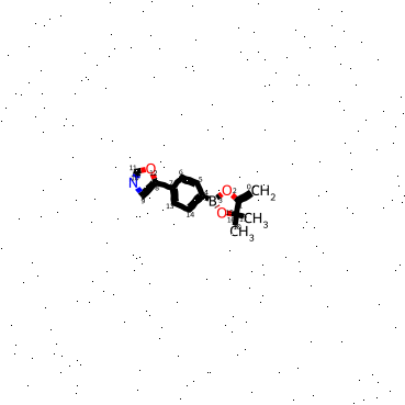 C=C1OB(c2ccc(-c3cnco3)cc2)OC1(C)C